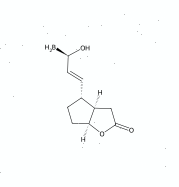 B[C@@H](O)/C=C/[C@H]1CC[C@@H]2OC(=O)C[C@@H]21